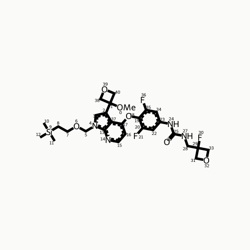 COC1(c2cn(COCC[Si](C)(C)C)c3nccc(Oc4c(F)cc(NC(=O)NCC5(F)COC5)cc4F)c23)COC1